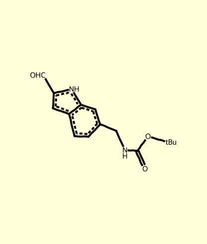 CC(C)(C)OC(=O)NCc1ccc2cc(C=O)[nH]c2c1